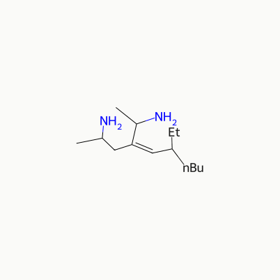 CCCCC(C=C(CC(C)N)C(C)N)CC